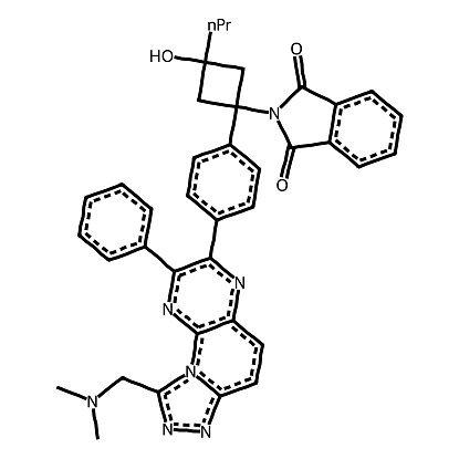 CCCC1(O)CC(c2ccc(-c3nc4ccc5nnc(CN(C)C)n5c4nc3-c3ccccc3)cc2)(N2C(=O)c3ccccc3C2=O)C1